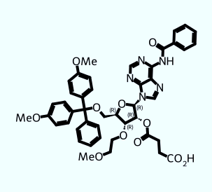 COCCO[C@H]1[C@@H](OC(=O)CCC(=O)O)[C@H](n2cnc3c(NC(=O)c4ccccc4)ncnc32)O[C@@H]1COC(c1ccccc1)(c1ccc(OC)cc1)c1ccc(OC)cc1